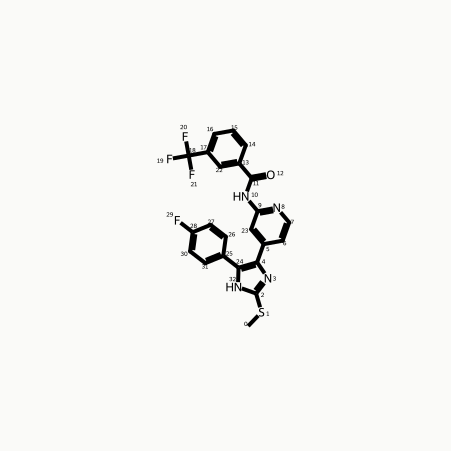 CSc1nc(-c2ccnc(NC(=O)c3cccc(C(F)(F)F)c3)c2)c(-c2ccc(F)cc2)[nH]1